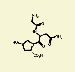 NCC(=O)N[C@@H](CC(N)=O)C(=O)N1C[C@H](O)C[C@H]1C(=O)O